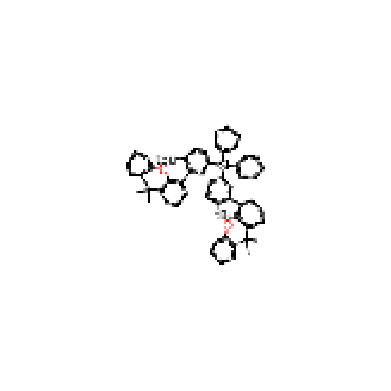 CC(C)(C)c1ccc([Si](c2ccccc2)(c2ccccc2)c2ccc(C(C)(C)C)c(-c3cccc4c3Oc3ccccc3C4(C)C)c2)cc1-c1cccc2c1Oc1ccccc1C2(C)C